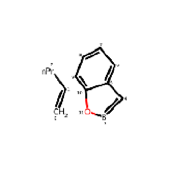 C=CCCC.b1cc2ccccc2o1